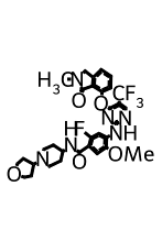 COc1cc(C(=O)NC2CCN(C3CCOCC3)CC2)c(F)cc1Nc1ncc(C(F)(F)F)c(Oc2cccc3c2C(=O)N(C)C3)n1